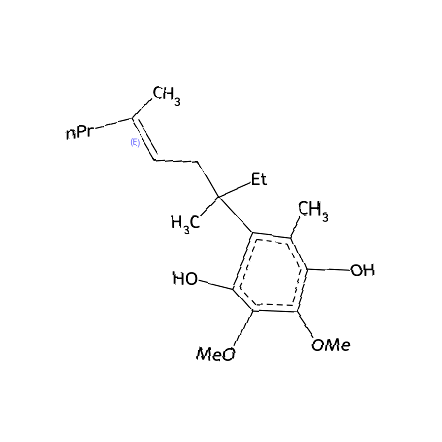 CCC/C(C)=C/CC(C)(CC)c1c(C)c(O)c(OC)c(OC)c1O